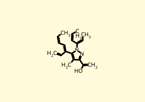 C=C/C(=C\C=C/C)c1c(C)c(C(=C)O)nn1C(/C=C\C)=C/C